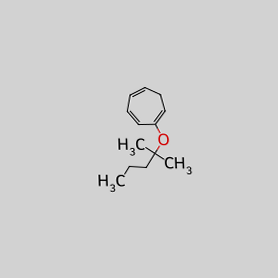 CCCC(C)(C)OC1=CCC=CC=C1